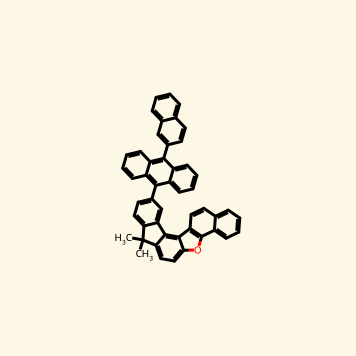 CC1(C)c2ccc(-c3c4ccccc4c(-c4ccc5ccccc5c4)c4ccccc34)cc2-c2c1ccc1oc3c4ccccc4ccc3c21